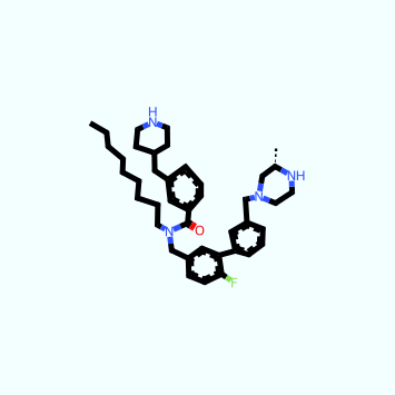 CCCCCCCCCN(Cc1ccc(F)c(-c2cccc(CN3CCN[C@@H](C)C3)c2)c1)C(=O)c1cccc(CC2CCNCC2)c1